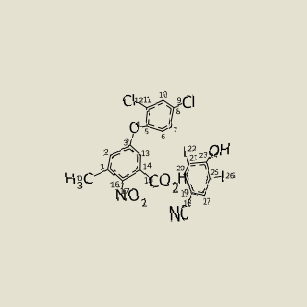 Cc1cc(Oc2ccc(Cl)cc2Cl)cc(C(=O)O)c1[N+](=O)[O-].N#Cc1cc(I)c(O)c(I)c1